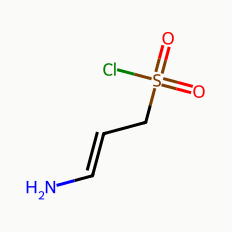 NC=CCS(=O)(=O)Cl